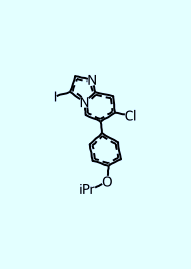 CC(C)Oc1ccc(-c2cn3c(I)cnc3cc2Cl)cc1